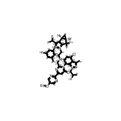 CCOc1cnc(-c2cc(=O)n(-c3ccc(Cl)c4c(C)nn(CC(F)F)c34)c([C@H](Cc3cc(F)cc(F)c3)NC(=O)Cn3nc(C(F)F)c4c3C(F)(F)[C@@H]3C[C@H]43)n2)nc1